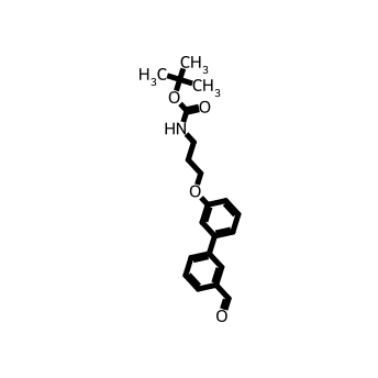 CC(C)(C)OC(=O)NCCCOc1cccc(-c2cccc(C=O)c2)c1